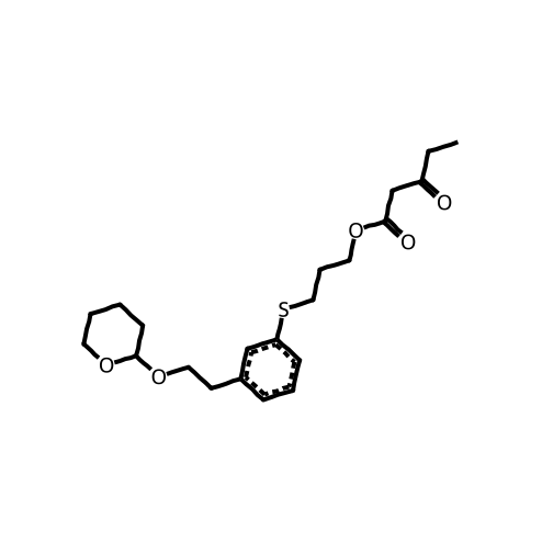 CCC(=O)CC(=O)OCCCSc1cccc(CCOC2CCCCO2)c1